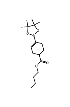 CCCCOC(=O)C1CC=C(B2OC(C)(C)C(C)(C)O2)CC1